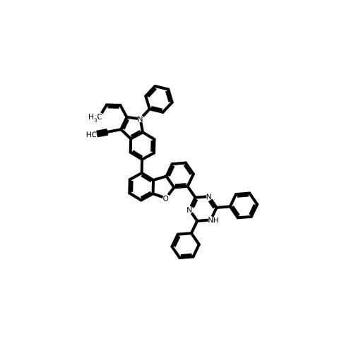 C#Cc1c(/C=C\C)n(-c2ccccc2)c2ccc(-c3cccc4oc5c(C6=NC(C7C=CC=CC7)NC(c7ccccc7)=N6)cccc5c34)cc12